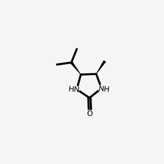 CC(C)[C@@H]1NC(=O)N[C@@H]1C